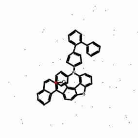 c1ccc(-c2ccccc2-c2ccc(N(c3ccccc3)c3cccc4sc5ccc6c(oc7ccc8ccccc8c76)c5c34)cc2)cc1